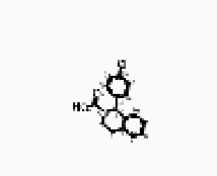 O=C(O)N1CCc2ccccc2C1c1ccc(Cl)cc1